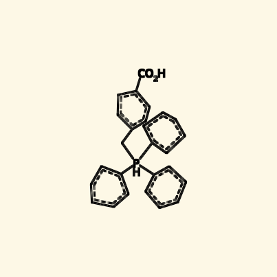 O=C(O)c1ccc(C[PH](c2ccccc2)(c2ccccc2)c2ccccc2)cc1